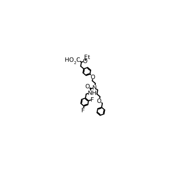 CCOC(Cc1ccc(OCCN(CCCOCc2ccccc2)C(=O)NCc2ccc(F)cc2F)cc1)C(=O)O